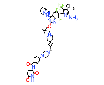 Cc1cc(N)nc(-c2c(F)cc3c(N4CC5CCC(C4)N5)nc(OCC4(CN5CCC6(CC5)CC(CN5CCN(c7ccc8c(c7)CN([C@H]7CCC(=O)NC7=O)C8=O)CC5)C6)CC4)nc3c2F)c1C(F)(F)F